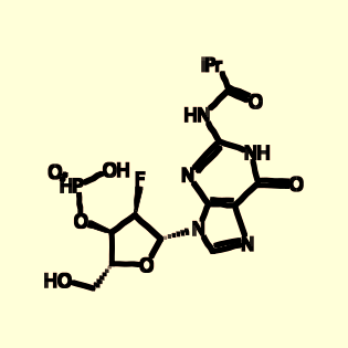 CC(C)C(=O)Nc1nc2c(ncn2[C@@H]2O[C@H](CO)[C@@H](O[PH](=O)O)[C@H]2F)c(=O)[nH]1